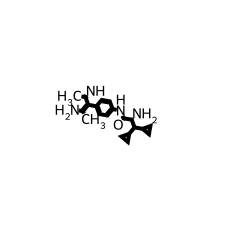 CC(=N)/C(=C(/C)N)c1ccc(NC(=O)[C@@H](N)C(C2CC2)C2CC2)cc1